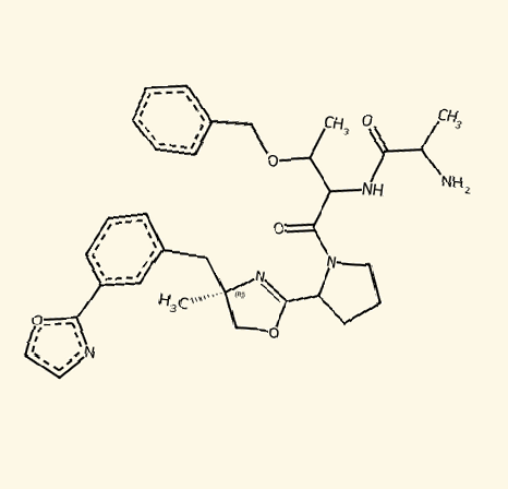 CC(N)C(=O)NC(C(=O)N1CCCC1C1=N[C@](C)(Cc2cccc(-c3ncco3)c2)CO1)C(C)OCc1ccccc1